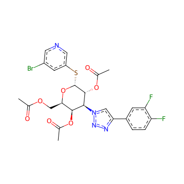 CC(=O)OC[C@H]1O[C@H](Sc2cncc(Br)c2)[C@H](OC(C)=O)[C@@H](n2cc(-c3ccc(F)c(F)c3)nn2)[C@H]1OC(C)=O